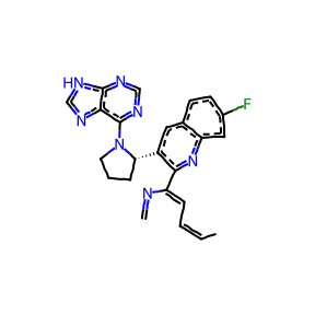 C=N/C(=C\C=C/C)c1nc2cc(F)ccc2cc1[C@@H]1CCCN1c1ncnc2[nH]cnc12